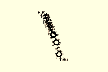 CCCC[C@H]1CC[C@H](CC[C@H]2CC[C@H](c3ccc(C(F)(F)C(F)(F)C(F)(F)C(F)(F)C(F)(F)C(F)(F)C(F)(F)C(F)(F)F)cc3)CC2)CC1